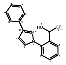 OC(c1ccccc1-n1ccc(-c2ccccc2)n1)C(F)(F)F